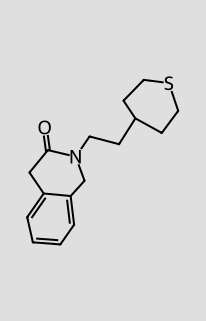 O=C1Cc2ccccc2CN1CCC1CCSCC1